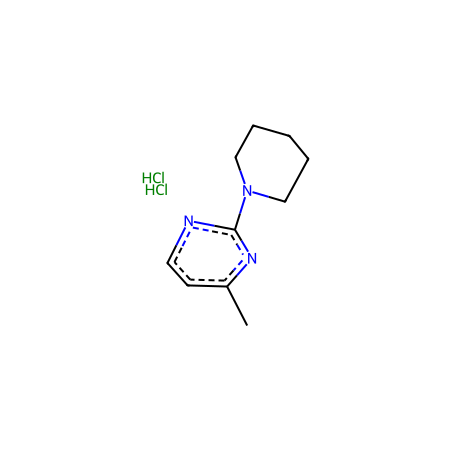 Cc1ccnc(N2CCCCC2)n1.Cl.Cl